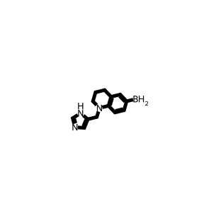 Bc1ccc2c(c1)CCCN2Cc1cnc[nH]1